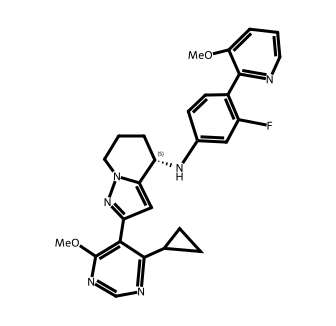 COc1cccnc1-c1ccc(N[C@H]2CCCn3nc(-c4c(OC)ncnc4C4CC4)cc32)cc1F